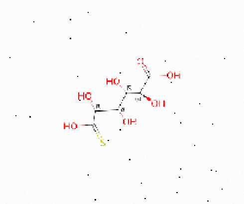 O=C(O)[C@@H](O)[C@@H](O)[C@H](O)[C@@H](O)C(O)=S